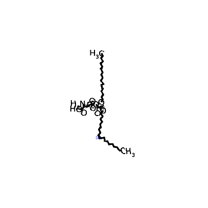 CCCCCCCCC/C=C\CCCCCCCC(=O)O[C@H](COCCCCCCCCCCCCCCCCCC)COP(=O)(O)OC[C@H](N)C(=O)O